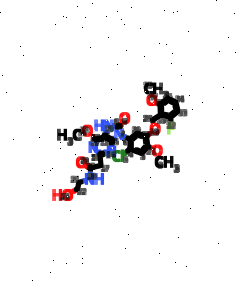 COc1cc(Cl)c(-n2c(=O)[nH]c3c(OC)nc(CC(=O)NCCO)nc32)cc1OCc1c(F)cccc1OC